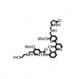 COc1cc(C(=O)Nc2cccc(-c3nccc(-c4ccc(CNC[C@H]5CCC(=O)N5)c(OC)n4)c3Cl)c2C)ncc1CNCCO